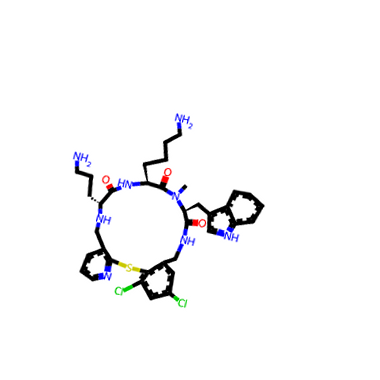 CN1C(=O)[C@H](CCCCN)NC(=O)[C@@H](CCCN)NCc2cccnc2Sc2c(Cl)cc(Cl)cc2CNC(=O)[C@@H]1Cc1c[nH]c2ccccc12